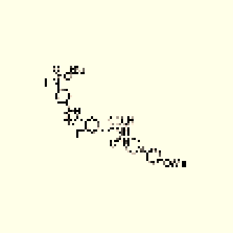 COc1ccc(N2CCN(C(=O)NC(Cc3ccc(-c4noc(-c5ccc(NC(=O)OC(C)(C)C)cc5)n4)c(F)c3)C(=O)O)CC2)cc1